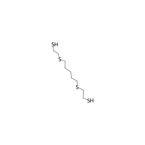 SCCSCCCCCSCCS